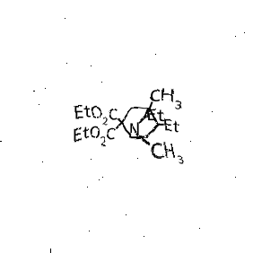 CCOC(=O)C1(C(=O)OCC)CC2(C)C(CC)CC1N(C)C2CC